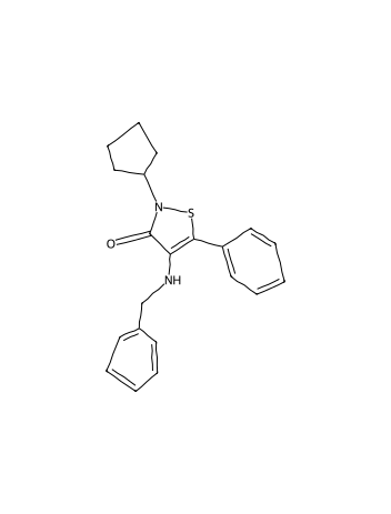 O=c1c(NCc2ccccc2)c(-c2ccccc2)sn1C1CCCC1